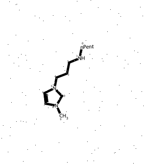 CCCCCNCCCN1C=CN(C)C1